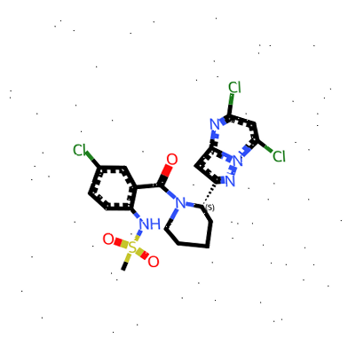 CS(=O)(=O)Nc1ccc(Cl)cc1C(=O)N1CCCC[C@H]1c1cc2nc(Cl)cc(Cl)n2n1